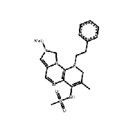 CON1C=C2C=NC3=C(N(CCc4ccccc4)CC(C)=C3NS(C)(=O)=O)N2C1